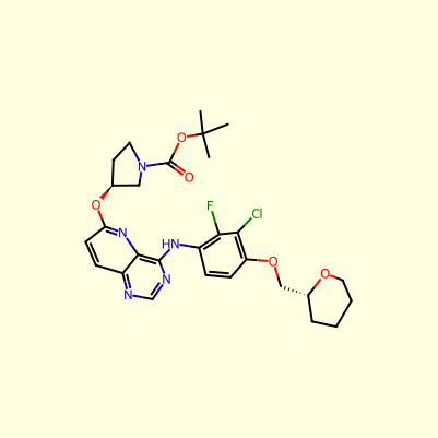 CC(C)(C)OC(=O)N1CC[C@H](Oc2ccc3ncnc(Nc4ccc(OC[C@H]5CCCCO5)c(Cl)c4F)c3n2)C1